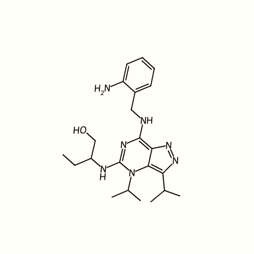 CCC(CO)Nc1nc(NCc2ccccc2N)c2nnc(C(C)C)c-2n1C(C)C